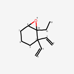 C=CC1(C=C)CCCC2OC21CC